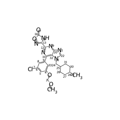 COCOc1cc(Cl)cc(-c2nc(-c3noc(=O)[nH]3)nc3ncn(CC4CCC(C)CC4)c23)c1